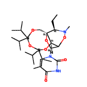 CC[C@H]1N(C)OC2[C@H](n3cc(C)c(=O)[nH]c3=O)O[C@@]13CO[Si](C(C)C)(C(C)C)O[Si](C(C)C)(C(C)C)O[C@H]23